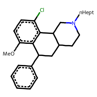 CCCCCCCN1CCC2CC(c3ccccc3)c3c(OC)ccc(Cl)c3C2C1